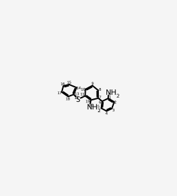 Nc1ccccc1-c1cccc(Sc2ccccc2)c1N